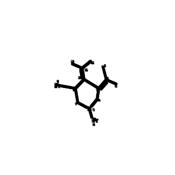 CC(C)=C1CN(C(C)C)CC(C(C)C)C1=C(C)C